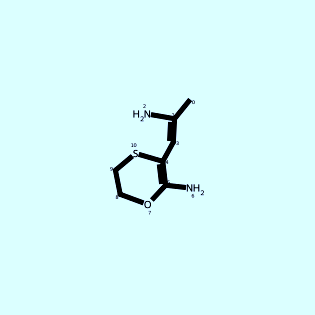 C/C(N)=C/C1=C(N)OCCS1